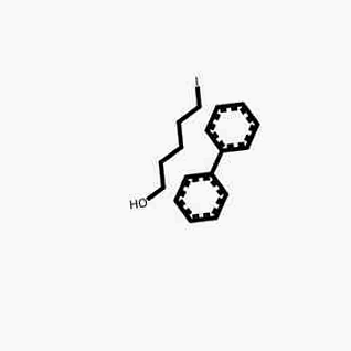 OCCCCCI.c1ccc(-c2ccccc2)cc1